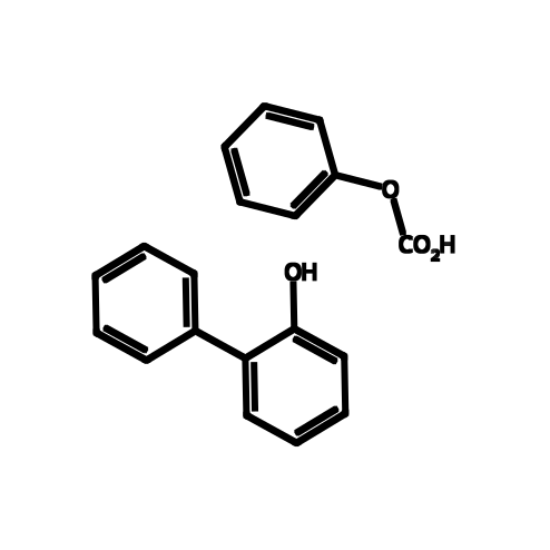 O=C(O)Oc1ccccc1.Oc1ccccc1-c1ccccc1